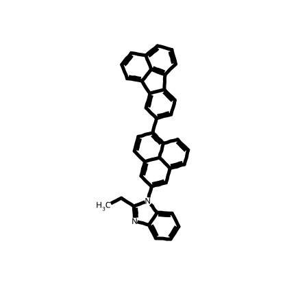 CCc1nc2ccccc2n1C1=CC2=CC=CC3=C(c4ccc5c(c4)-c4cccc6cccc-5c46)C=CC(=C1)C23